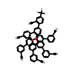 N#Cc1cccc(-c2ccc3c(c2)c2cc(-c4cccc(C#N)c4)ccc2n3-c2ccc(-c3ccc(C(F)(F)F)cc3C#N)cc2-c2ccc(C#N)cc2-n2c3ccc(-c4cccc(C#N)c4)cc3c3cc(-c4cccc(C#N)c4)ccc32)c1